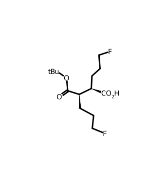 CC(C)(C)OC(=O)[C@H](CCCF)[C@@H](CCCF)C(=O)O